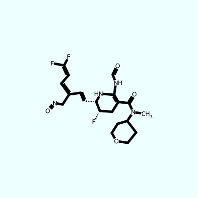 CN(C(=O)C1=C(NC=O)N[C@@H](/C=C/C(=C\C=C(F)F)CN=O)[C@@H](F)C1)C1CCOCC1